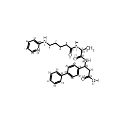 C[C@H](NC(=O)CCCCNc1ccccn1)C(=O)NC(CC(=O)O)c1ccc(-c2ccccc2)cc1